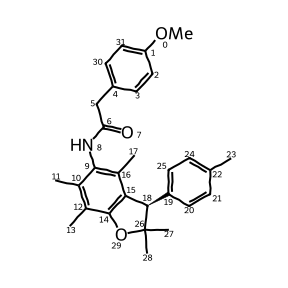 COc1ccc(CC(=O)Nc2c(C)c(C)c3c(c2C)[C@@H](c2ccc(C)cc2)C(C)(C)O3)cc1